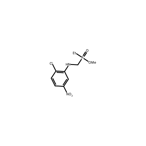 CCP(=O)(CNc1cc([N+](=O)[O-])ccc1Cl)OC